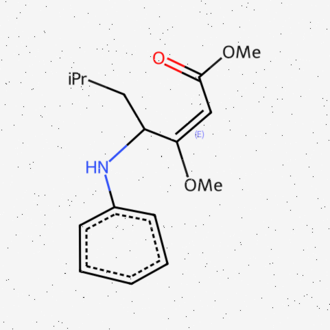 COC(=O)/C=C(/OC)C(CC(C)C)Nc1ccccc1